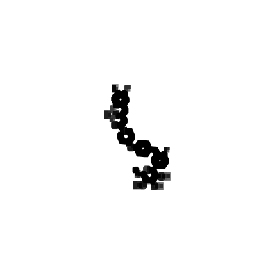 CS[C@H]1O[C@@H](c2ccc(F)c(Cc3ccc(OC4CCN(C(=O)C[C@H](N)Cc5cc(F)c(F)cc5F)CC4)cc3)c2)[C@H](O)[C@@H](O)[C@@H]1O